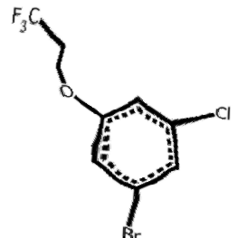 FC(F)(F)COc1cc(Cl)cc(Br)c1